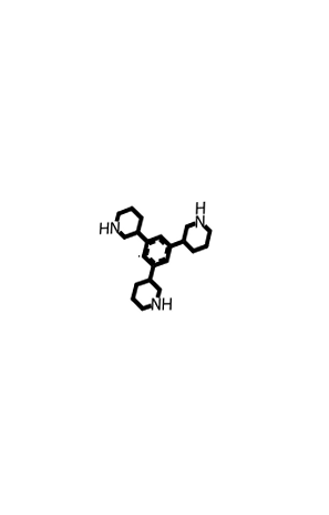 [c]1c(C2CCCNC2)cc(C2CCCNC2)cc1C1CCCNC1